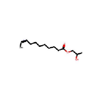 CCCC/C=C\CCCCCCCC(=O)OCC(C)O